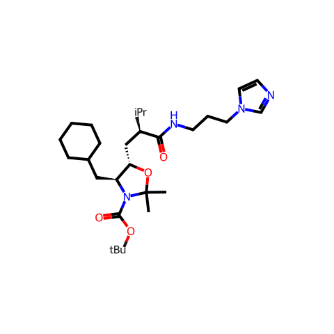 CC(C)[C@H](C[C@@H]1OC(C)(C)N(C(=O)OC(C)(C)C)[C@H]1CC1CCCCC1)C(=O)NCCCn1ccnc1